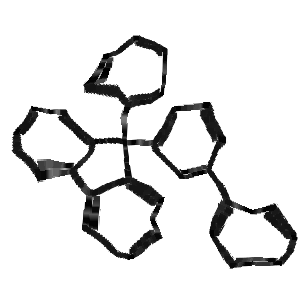 c1ccc(-c2cccc(C3(c4ccccc4)c4ccccc4-c4ccccc43)c2)cc1